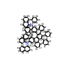 c1ccc(-c2c(-c3ccccc3)c(-c3ccccc3)c3c(c2-c2ccccc2)-c2ccc(N(c4ccccc4)c4cccc5ccccc45)cc2[Si](c2ccccc2)(c2ccccc2)c2cc(N(c4ccccc4)c4cccc5ccccc45)ccc2-3)cc1